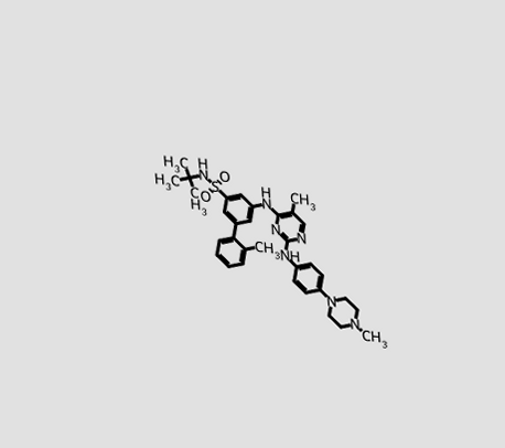 Cc1ccccc1-c1cc(Nc2nc(Nc3ccc(N4CCN(C)CC4)cc3)ncc2C)cc(S(=O)(=O)NC(C)(C)C)c1